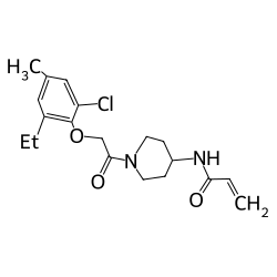 C=CC(=O)NC1CCN(C(=O)COc2c(Cl)cc(C)cc2CC)CC1